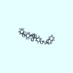 O=c1n(-c2ccc(OCCN3CCC4CCCCC4C3)cc2)ccn1-c1ccc(Oc2ccccc2)cc1